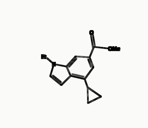 CCn1ccc2c(C3CC3)cc(C(=O)OC)cc21